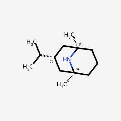 CC(C)[C@H]1C[C@]2(C)CCC[C@](C)(C1)N2